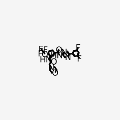 O=C(CN1CCOCC1)Nc1cc(C(=O)Nc2cnc(-c3cc(F)cc(F)c3)cn2)ccc1OC(F)(F)F